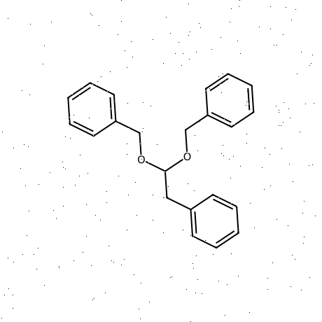 [CH](c1ccccc1)C(OCc1ccccc1)OCc1ccccc1